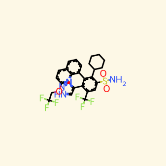 NS(=O)(=O)c1cc(C(F)(F)F)c(-c2c[nH]nn2)c(-c2cccc3ccc(OCC(F)(F)F)nc23)c1C1CCCCC1